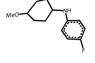 COC1CCC(Nc2ccc(F)cc2)CC1